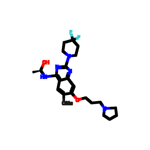 COc1cc2c(N[C@H](C)O)nc(N3CCC(F)(F)CC3)nc2cc1OCCCN1CCCC1